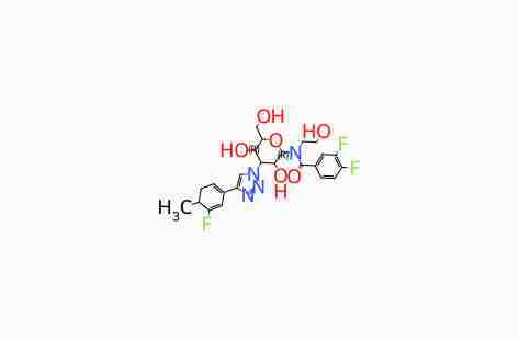 CC1CC=C(c2cn(C3C(O)[C@H](N(CCO)C(=O)c4ccc(F)c(F)c4)OC(CO)[C@@H]3O)nn2)C=C1F